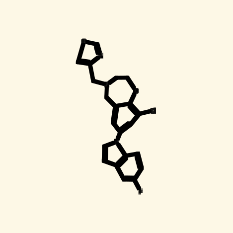 Fc1ccc2c(ccn2-c2cc(Cl)c3c(c2)CN(Cc2cocn2)CCO3)c1